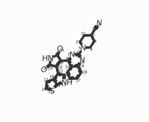 N#CC1CCN(c2nc(C3=C(c4c[nH]c5sccc45)C(=O)NC3=O)c3ccccc3n2)CC1